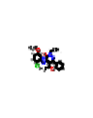 CCn1nc(-c2ccccc2)c(C(C)=O)c(Nc2cc(OC)ccc2Cl)c1=O